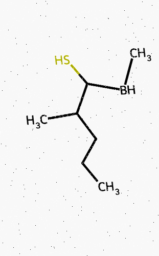 CBC(S)C(C)CCC